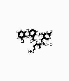 C/C(=C(\CCO)SC(=O)c1ccccc1Oc1c(Cl)cccc1Cl)N(C=O)Cc1cnc(C)nc1N